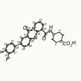 O=C(NC1CCC(C(=O)O)CC1)c1cccn2c(=O)c3cc(-c4ccc(F)c(F)c4)ccc3nc12